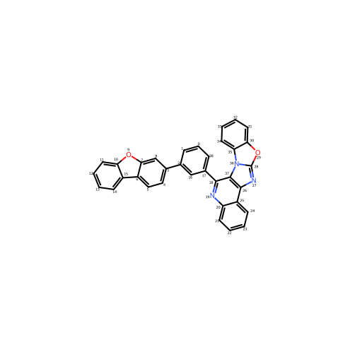 c1cc(-c2ccc3c(c2)oc2ccccc23)cc(-c2nc3ccccc3c3nc4oc5ccccc5n4c23)c1